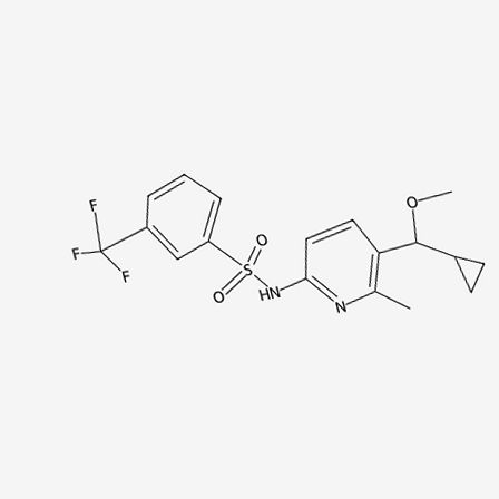 COC(c1ccc(NS(=O)(=O)c2cccc(C(F)(F)F)c2)nc1C)C1CC1